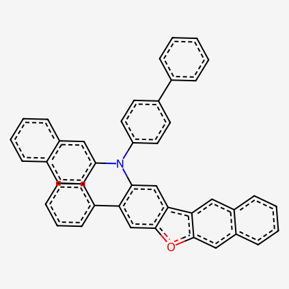 c1ccc(-c2ccc(N(c3ccc4ccccc4c3)c3cc4c(cc3-c3ccccc3)oc3cc5ccccc5cc34)cc2)cc1